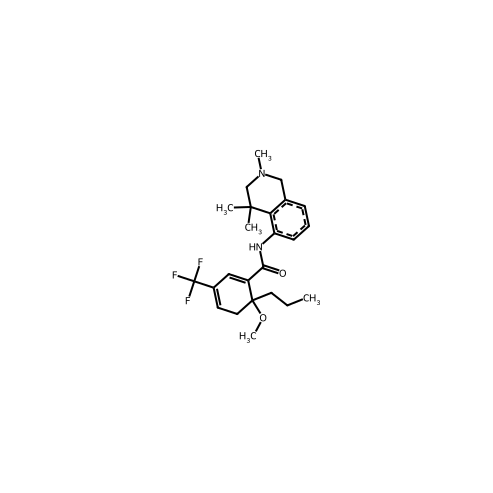 CCCC1(OC)CC=C(C(F)(F)F)C=C1C(=O)Nc1cccc2c1C(C)(C)CN(C)C2